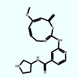 C=C1/C=C(OC)\C=C/C/N=C(/Nc2cc(C(=O)NC3CCNC3)ccn2)S1